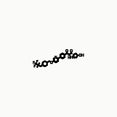 CC(C)(CN1CCC(COc2ccc(-c3ccc(C(=O)NC(=O)[C@@H]4C[C@@H](O)CN4)cc3)nc2)CC1)C(F)(F)F